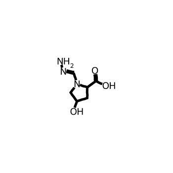 NN=CN1CC(O)CC1C(=O)O